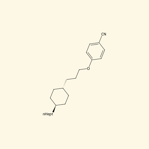 CCCCCCC[C@H]1CC[C@H](CCCOc2ccc(C#N)cc2)CC1